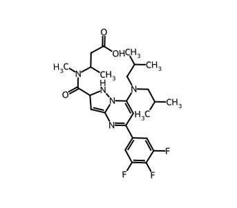 CC(C)CN(CC(C)C)C1=CC(c2cc(F)c(F)c(F)c2)=NC2=CC(C(=O)N(C)C(C)CC(=O)O)NN21